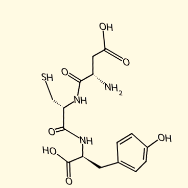 N[C@@H](CC(=O)O)C(=O)N[C@@H](CS)C(=O)N[C@@H](Cc1ccc(O)cc1)C(=O)O